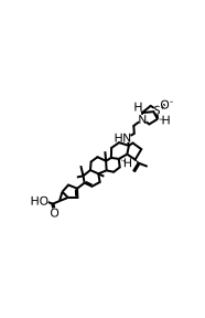 C=C(C)[C@@H]1CCC2(NCCN3C[C@H]4C[C@@H]3C[S+]4[O-])CCC3[C@H](CCC4C3(C)CCC3C(C)(C)C(C5=CC6C(C5)C6C(=O)O)=CCC34C)C12